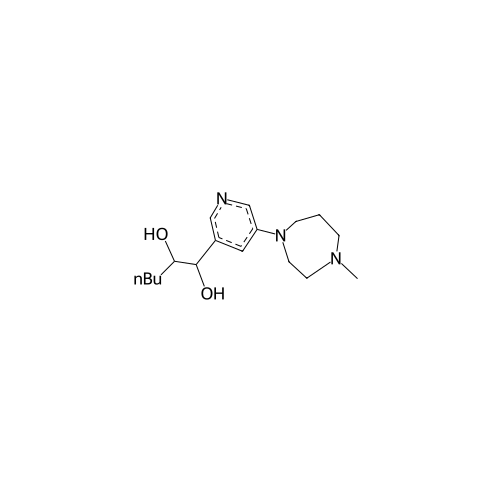 CCCCC(O)C(O)c1cncc(N2CCCN(C)CC2)c1